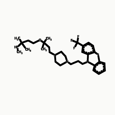 CPC(C)(C)CCOC(C)(C)CCN1CCN(CCCN2c3ccccc3Sc3ccc(C(F)(F)F)cc32)CC1